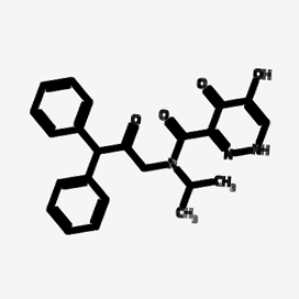 CC(C)N(CC(=O)C(c1ccccc1)c1ccccc1)C(=O)c1n[nH]cc(O)c1=O